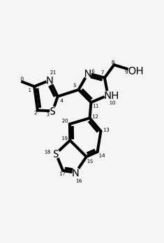 Cc1csc(-c2nc(CO)[nH]c2-c2ccc3ncsc3c2)n1